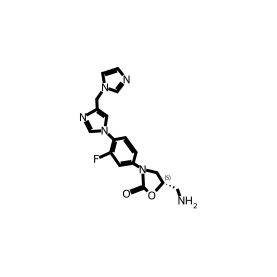 NC[C@H]1CN(c2ccc(-n3cnc(Cn4ccnc4)c3)c(F)c2)C(=O)O1